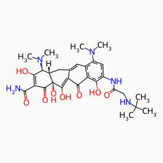 CN(C)c1cc(NC(=O)CNC(C)(C)C)c(O)c2c1C=C1C[C@H]3[C@H](N(C)C)C(O)=C(C(N)=O)C(=O)[C@@]3(O)C(O)=C1C2=O